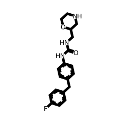 O=C(NCC1CNCCO1)Nc1ccc(Cc2ccc(F)cc2)cc1